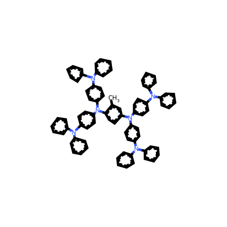 Cc1cc(N(c2ccc(N(c3ccccc3)c3ccccc3)cc2)c2ccc(N(c3ccccc3)c3ccccc3)cc2)ccc1N(c1ccc(N(c2ccccc2)c2ccccc2)cc1)c1ccc(N(c2ccccc2)c2ccccc2)cc1